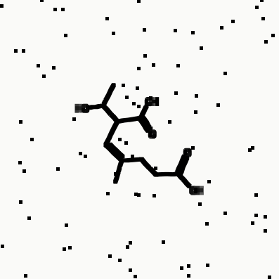 CC(=CC(C(=O)O)C(C)O)CCC(=O)O